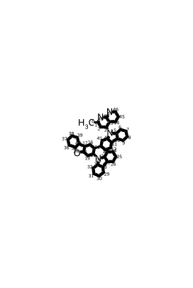 Cc1cc(-n2c3ccccc3c3ccc(-c4cc5c(cc4-n4c6ccccc6c6ccccc64)oc4ccccc45)cc32)c2cccnc2n1